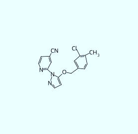 Cc1ccc(COc2ccnn2-c2cc(C#N)ccn2)cc1Cl